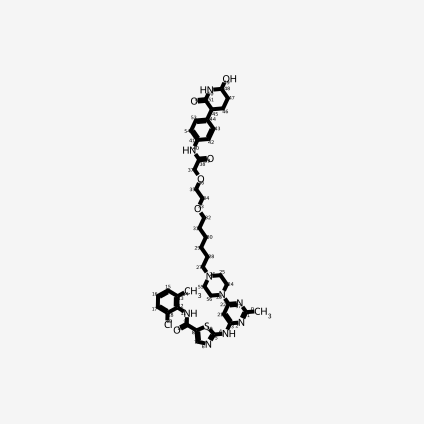 Cc1nc(Nc2ncc(C(=O)Nc3c(C)cccc3Cl)s2)cc(N2CCN(CCCCCCOCCOCC(=O)Nc3ccc(C4CCC(O)NC4=O)cc3)CC2)n1